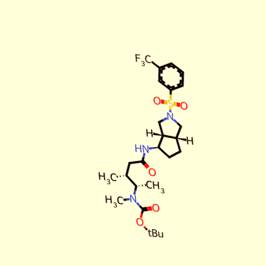 C[C@H](CC(=O)N[C@@H]1CC[C@H]2CN(S(=O)(=O)c3cccc(C(F)(F)F)c3)C[C@H]21)[C@H](C)N(C)C(=O)OC(C)(C)C